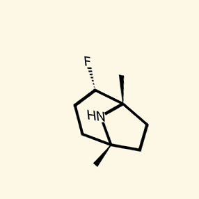 C[C@]12CC[C@H](F)[C@](C)(CC1)N2